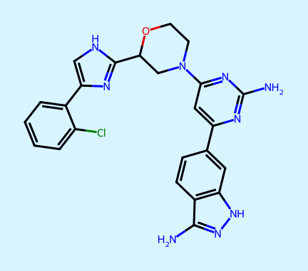 Nc1nc(-c2ccc3c(N)n[nH]c3c2)cc(N2CCOC(c3nc(-c4ccccc4Cl)c[nH]3)C2)n1